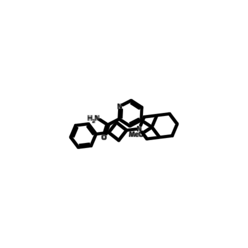 COC1(c2ccnc(C(N)=O)c2)C2CCCC1CN(C1CC(c3ccccc3)C1)C2